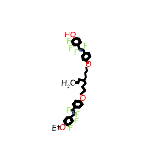 C=CCC(CCCCOc1ccc(/C(F)=C(\F)c2ccc(O)c(F)c2F)cc1)CCCCOc1ccc(/C(F)=C(\F)c2ccc(OCC)c(F)c2F)cc1